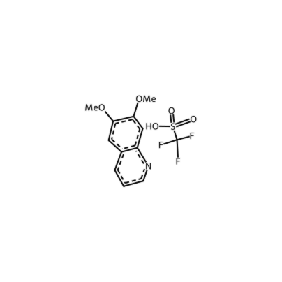 COc1cc2cccnc2cc1OC.O=S(=O)(O)C(F)(F)F